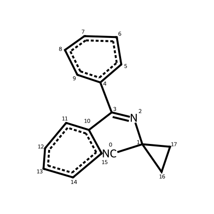 N#CC1(N=C(c2ccccc2)c2ccccc2)CC1